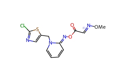 CO/N=C/C(=O)ON=c1ccccn1Cc1cnc(Cl)s1